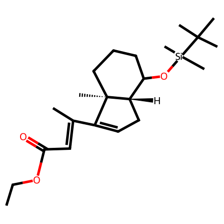 CCOC(=O)/C=C(\C)C1=CC[C@H]2C(O[Si](C)(C)C(C)(C)C)CCC[C@]12C